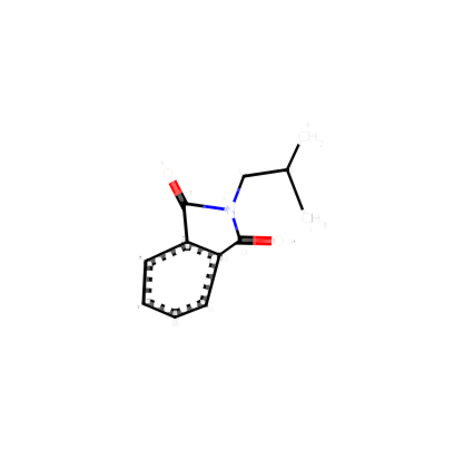 [CH2]C(C)CN1C(=O)c2ccccc2C1=O